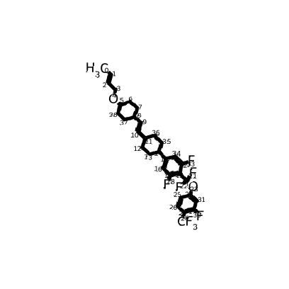 C/C=C/COC1CCC(/C=C/C2CCC(c3cc(F)c(C(F)(F)Oc4ccc(C(F)(F)F)c(F)c4)c(F)c3)CC2)CC1